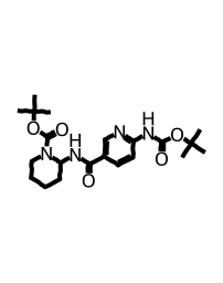 CC(C)(C)OC(=O)Nc1ccc(C(=O)NC2CCCCN2C(=O)OC(C)(C)C)cn1